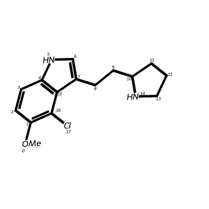 COc1ccc2[nH]cc(CCC3CCCN3)c2c1Cl